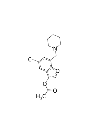 CC(=O)Oc1coc2c(CN3CCCCC3)cc(Cl)cc12